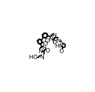 COc1nc(-c2cccc(-c3cccc(-c4cnc(CN(C)CCO)c(OC)n4)c3Cl)c2Cl)cnc1CNC[C@@H]1CCC(=O)N1